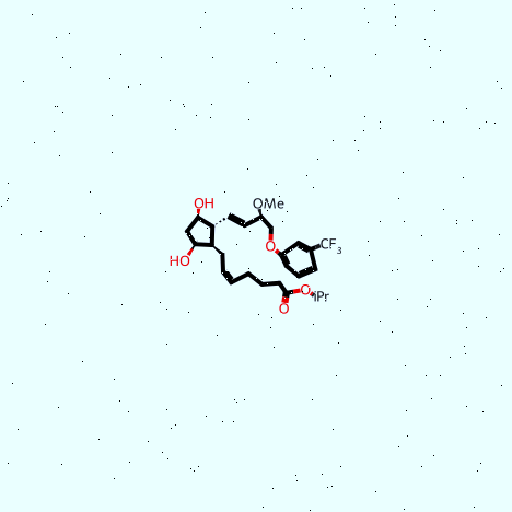 CO[C@H](/C=C/[C@@H]1[C@@H](C/C=C\CCCC(=O)OC(C)C)[C@@H](O)C[C@H]1O)COc1cccc(C(F)(F)F)c1